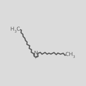 CCCCCCCCCCCCCc1c[c]cc(CCCCCCCCCCCCC)n1